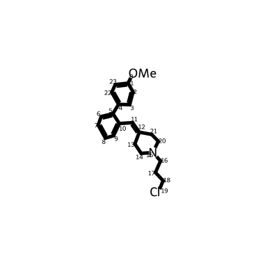 COc1ccc(-c2ccccc2C=C2CCN(CCCCl)CC2)cc1